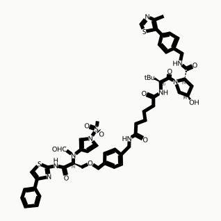 Cc1ncsc1-c1ccc(CNC(=O)[C@@H]2C[C@@H](O)CN2C(=O)[C@@H](NC(=O)CCCCC(=O)NCc2ccc(COC[C@@H](C(=O)Nc3nc(-c4ccccc4)cs3)N(C=O)c3ccn(S(C)(=O)=O)c3)cc2)C(C)(C)C)cc1